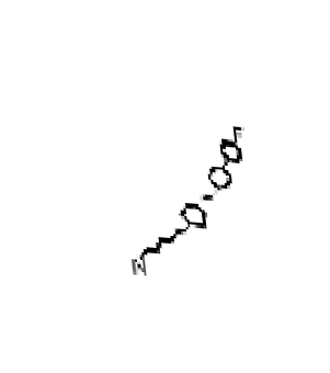 N#CC=CC=CCC[C@H]1CC[C@H](CC[C@H]2CC[C@H](c3ccc(F)cc3)CC2)CC1